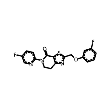 O=C1c2sc(COc3cccc(F)c3)nc2CCN1c1ccc(F)cn1